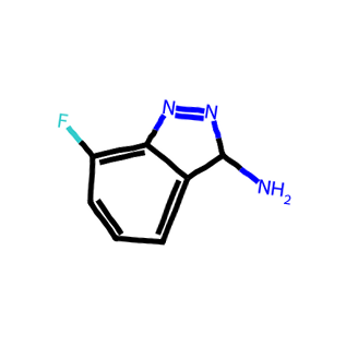 NC1N=Nc2c(F)cccc21